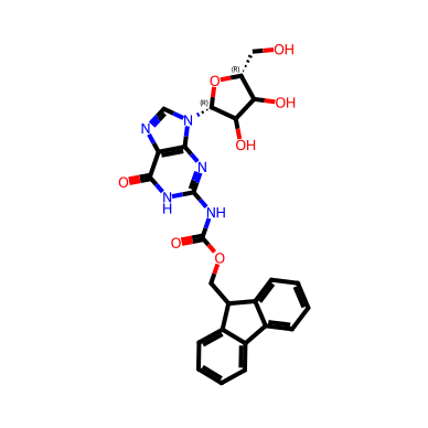 O=C(Nc1nc2c(ncn2[C@@H]2O[C@H](CO)C(O)C2O)c(=O)[nH]1)OCC1c2ccccc2-c2ccccc21